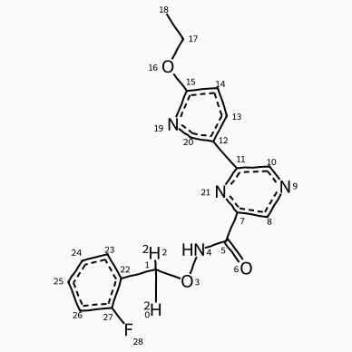 [2H]C([2H])(ONC(=O)c1cncc(-c2ccc(OCC)nc2)n1)c1ccccc1F